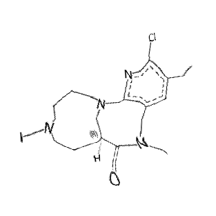 Cc1cc2c(nc1Cl)N1CCN(I)C[C@@H]1C(=O)N2C